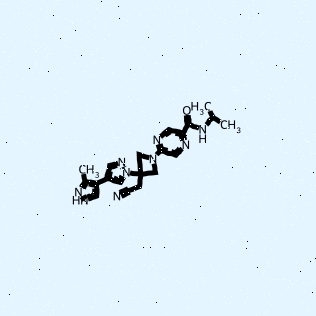 Cc1n[nH]cc1-c1cnn(C2(CC#N)CN(c3cnc(C(=O)NC(C)C)cn3)C2)c1